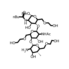 CCCCC(=O)NC1[C@H](OC)OC(COCCO)[C@H](O[C@@H]2OC(COCCO)[C@H](O[C@@H]3OC(COCCO)[C@H](C)[C@@H](O)C3N)[C@@H](O)C2NC(C)=O)[C@H]1O